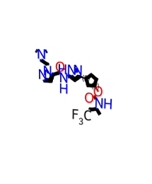 CC(CC(F)(F)F)NC(=O)O[C@@H]1CC[C@H](c2cc(NC(=O)c3ccnn3CCN(C)C)[nH]n2)C1